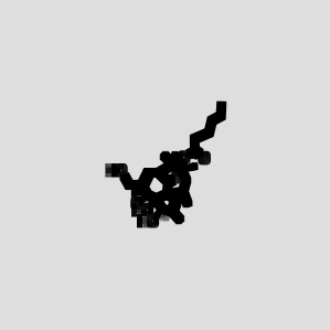 CCCCCC(=O)O[C@]1(C)CC(C)C23C=C(C)[C@H](O)[C@@]2(O)[C@H](O)C(CO)=CC(C3=O)C1(C)C